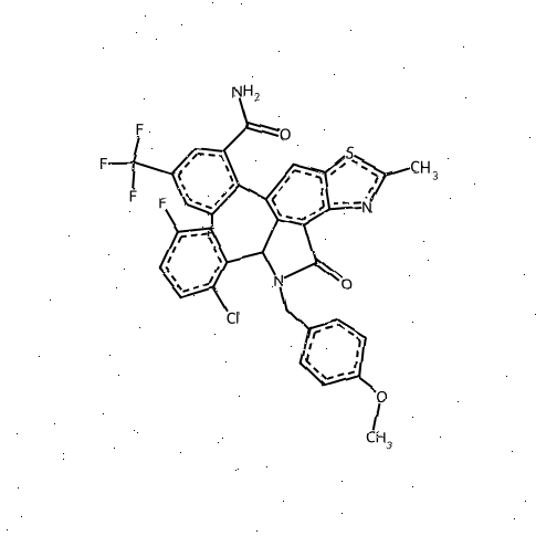 COc1ccc(CN2C(=O)c3c(c(-c4c(F)cc(C(F)(F)F)cc4C(N)=O)cc4sc(C)nc34)C2c2cc(F)ccc2Cl)cc1